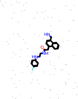 N=Cc1ccc(CC(=O)NCCNc2ccc(F)cc2)c2ccccc12